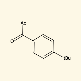 CC(=O)C(=O)c1ccc(C(C)(C)C)cc1